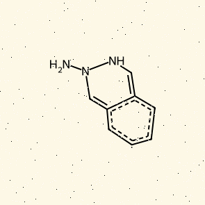 NN1C=c2c[c]ccc2=CN1